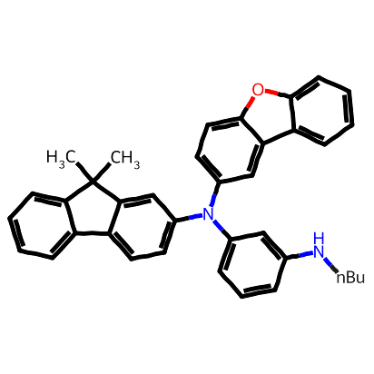 CCCCNc1cccc(N(c2ccc3c(c2)C(C)(C)c2ccccc2-3)c2ccc3oc4ccccc4c3c2)c1